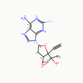 BC(B)(O)C1(C#C)O[C@@H](n2cnc3c(N)nc(F)nc32)C[C@@H]1O